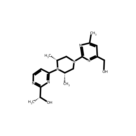 Cc1cc(CO)nc(N2C[C@@H](C)N(c3ccnc([C@@H](C)O)n3)[C@@H](C)C2)n1